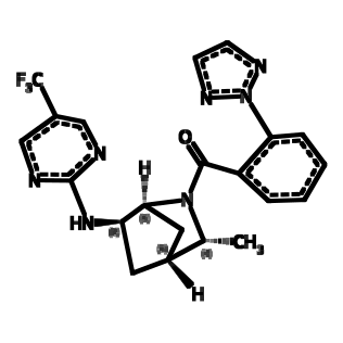 C[C@@H]1[C@@H]2C[C@@H](Nc3ncc(C(F)(F)F)cn3)[C@H](C2)N1C(=O)c1ccccc1-n1nccn1